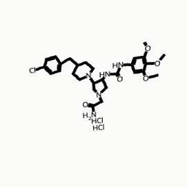 COc1cc(NC(=O)NC2CN(CC(N)=O)CC2N2CCC(Cc3ccc(Cl)cc3)CC2)cc(OC)c1OC.Cl.Cl